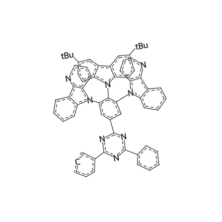 CC(C)(C)c1ccc2c(c1)c1cc(C(C)(C)C)ccc1n2-c1c(-n2c3ccccc3c3ncccc32)cc(-c2nc(-c3ccccc3)nc(-c3ccccc3)n2)cc1-n1c2ccccc2c2ncccc21